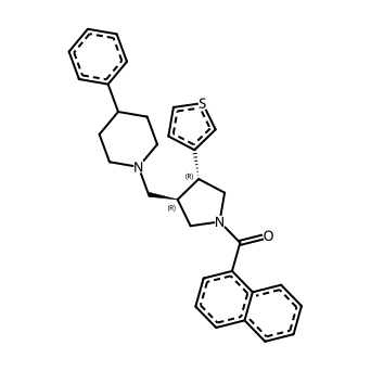 O=C(c1cccc2ccccc12)N1C[C@@H](CN2CCC(c3ccccc3)CC2)[C@H](c2ccsc2)C1